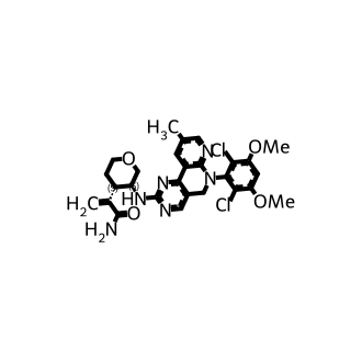 C=C(C(N)=O)[C@@H]1CCOC[C@H]1Nc1ncc2c(n1)-c1cc(C)cnc1N(c1c(Cl)c(OC)cc(OC)c1Cl)C2